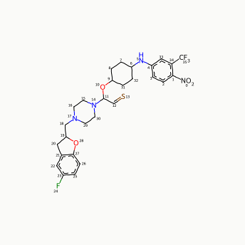 O=[N+]([O-])c1ccc(NC2CCC(OC(C=S)N3CCN(CC4Cc5cc(F)ccc5O4)CC3)CC2)cc1C(F)(F)F